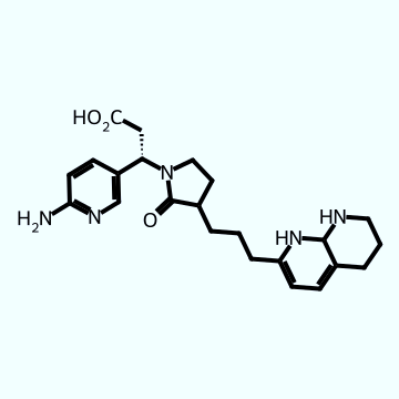 Nc1ccc([C@H](CC(=O)O)N2CCC(CCCC3=CC=C4CCCNC4N3)C2=O)cn1